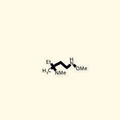 CCC(C)(CCNOC)NC